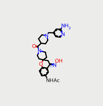 CC(=O)Nc1ccc2c(c1)/C(=N/O)CC1(CCN(C(=O)C3CCN(Cc4ccnc(N)c4)CC3)CC1)O2